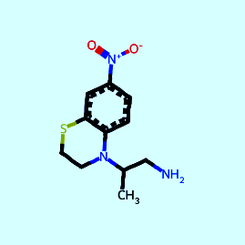 CC(CN)N1CCSc2cc([N+](=O)[O-])ccc21